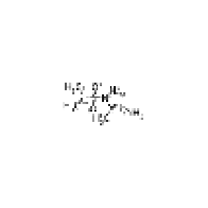 Cc1c(N)cnn1S(=O)(=O)C(C)C